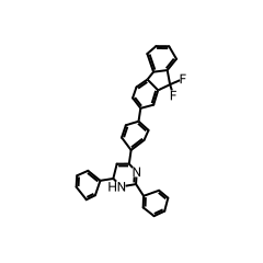 FC1(F)c2ccccc2-c2ccc(-c3ccc(C4=CC(c5ccccc5)NC(c5ccccc5)=N4)cc3)cc21